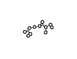 c1ccc(-c2cc(-c3cccc4ccccc34)cc(-n3c4ccccc4c4cc(-c5ccc(-c6cccc(N(c7ccccc7)c7cccc8ccccc78)c6)cc5)ccc43)c2)cc1